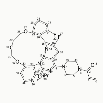 C=CC(=O)N1CCN(c2nc(=O)n3c4nc(c(F)cc24)-c2c(F)cccc2OCCCCOc2ccnc(C(C)C)c2-3)CC1